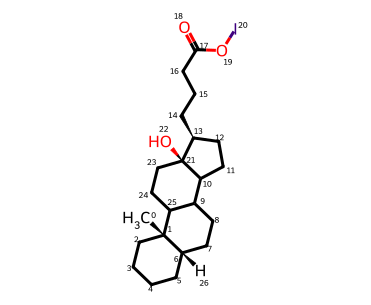 C[C@]12CCCC[C@H]1CCC1C3CC[C@H](CCCC(=O)OI)[C@@]3(O)CCC12